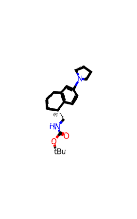 CC(C)(C)OC(=O)NC[C@@H]1CCCc2cc(N3CCCC3)ccc21